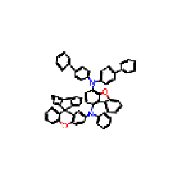 c1ccc(-c2ccc(N(c3ccc(-c4ccccc4)cc3)c3ccc(N(c4ccccc4)c4ccc5c(c4)C4(c6ccccc6O5)c5ccccc5-c5ccccc54)c4c3oc3ccccc34)cc2)cc1